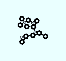 c1ccc(-c2ccc3c(c2)c2ccc(-c4ccc5oc6ccccc6c5c4)cc2n3-c2ccc3c(c2)c2ccccc2n3-c2cccc([Si](c3ccccc3)(c3ccccc3)c3ccccc3)c2)cc1